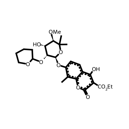 CCOC(=O)c1c(O)c2ccc(O[C@@H]3OC(C)(C)[C@H](OC)[C@@H](O)[C@H]3OC3CCCCO3)c(C)c2oc1=O